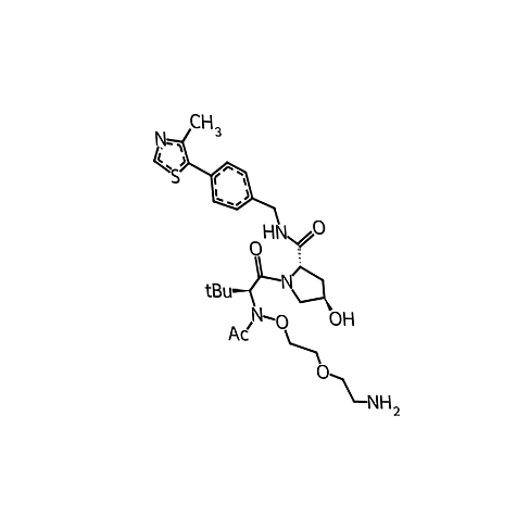 CC(=O)N(OCCOCCN)[C@H](C(=O)N1C[C@H](O)C[C@H]1C(=O)NCc1ccc(-c2scnc2C)cc1)C(C)(C)C